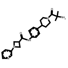 CC(C)(N)C(=O)N1CCC(c2ccc(NC(=O)C3CN(c4cccnc4)C3)cc2)CC1